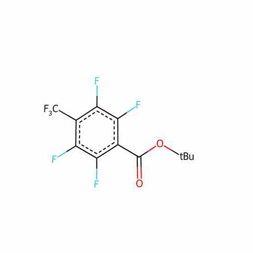 CC(C)(C)OC(=O)c1c(F)c(F)c(C(F)(F)F)c(F)c1F